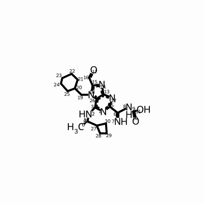 C[C@@H](Nc1nc(C(=N)NC(=O)O)nc2nc(C=O)n(CC3CCCCC3)c12)C1CCC1